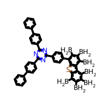 Bc1c(B)c(B)c2c(sc3c(-c4ccc(-c5nc(-c6ccc(-c7ccccc7)cc6)nc(-c6ccc(-c7ccccc7)cc6)n5)cc4)c(B)c(B)c(B)c32)c1B